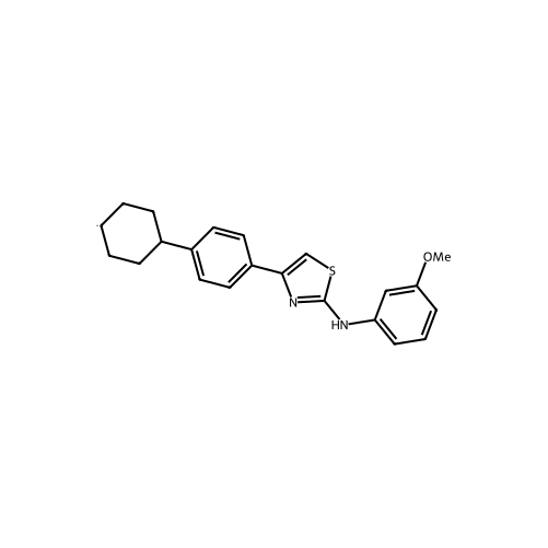 COc1cccc(Nc2nc(-c3ccc(C4CC[CH]CC4)cc3)cs2)c1